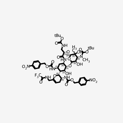 CN(C(=O)OC(C)(C)C)[C@@H]1[C@@H](O)[C@@H](O[C@H]2[C@H](NC(=O)[C@@H](O)CNC(=O)OC(C)(C)C)C[C@H](NC(=O)OCc3ccc([N+](=O)[O-])cc3)C([C@H]3OC(CNC(=O)C(F)(F)F)=CC[C@H]3NC(=O)OCc3ccc([N+](=O)[O-])cc3)[C@@H]2O)OC[C@]1(C)O